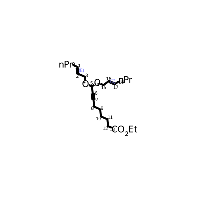 CCC/C=C/COC(C#CCCCCCC(=O)OCC)OC/C=C/CCC